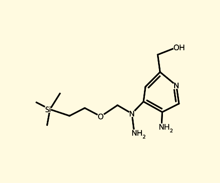 C[Si](C)(C)CCOCN(N)c1cc(CO)ncc1N